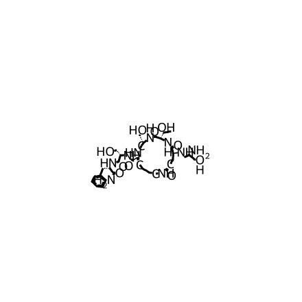 CC(O)[C@@H]1NC(=O)[C@@H](NC[C@@H](N)CO)CCC(=O)NCCCC[C@@H](C(=O)N[C@@H](CO)C(=O)N[C@@H](Cc2ccccc2)C(N)=O)NC[C@H](CO)NC1=O